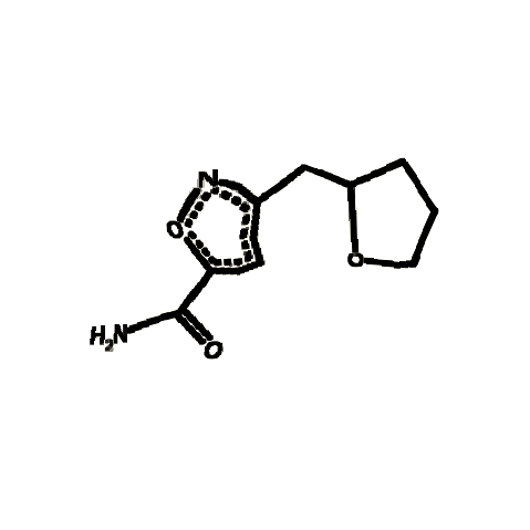 NC(=O)c1cc(CC2CCCO2)no1